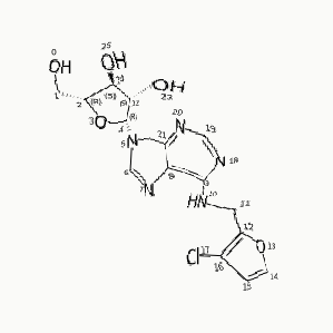 OC[C@H]1O[C@@H](n2cnc3c(NCc4occc4Cl)ncnc32)[C@@H](O)[C@@H]1O